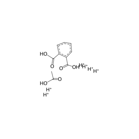 CC(=O)O.O=C(O)c1ccccc1C(=O)O.[H+].[H+].[H+].[H+].[H+].[H+]